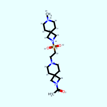 CC(=O)N1CC2(CCN(CCS(=O)(=O)N3CC4(CCN(C)CC4)C3)CC2)C1